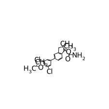 CC(C)Oc1c(Cl)cc(-c2ccc3c(c2)CC(C)(C)[C@H]3OC(N)=O)cc1Cl